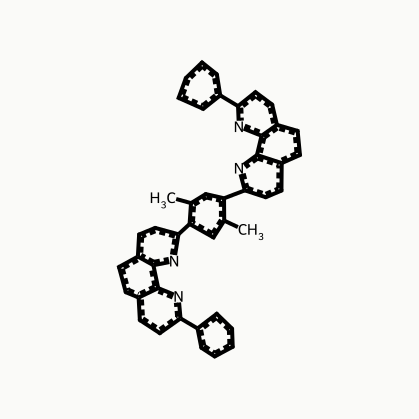 Cc1cc(-c2ccc3ccc4ccc(-c5ccccc5)nc4c3n2)c(C)cc1-c1ccc2ccc3ccc(-c4ccccc4)nc3c2n1